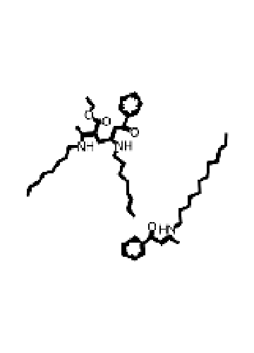 CCCCCCCCCCCCNC(C)=CC(=O)c1ccccc1.CCCCCCCCNC(=CC(=O)c1ccccc1)CC(C(=O)OCC)=C(C)NCCCCCCCC